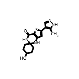 Cc1[nH]ncc1-c1cc2c(s1)C(=O)NC1(CCC(O)CC1)N2